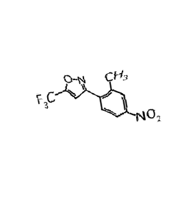 Cc1cc([N+](=O)[O-])ccc1-c1cc(C(F)(F)F)on1